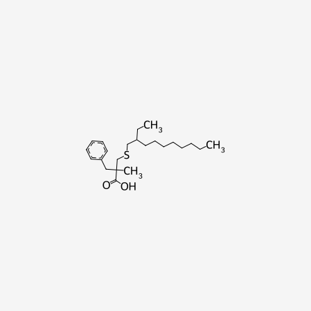 CCCCCCCCC(CC)CSCC(C)(Cc1ccccc1)C(=O)O